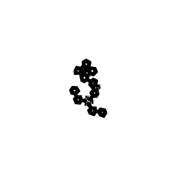 c1ccc(-c2cccc(-c3nc(-c4cccc(-c5ccccc5)c4)nc(-c4ccc5sc6ccc(-c7cccc8c7-c7ccccc7C87c8ccccc8-c8ccccc87)cc6c5c4)n3)c2)cc1